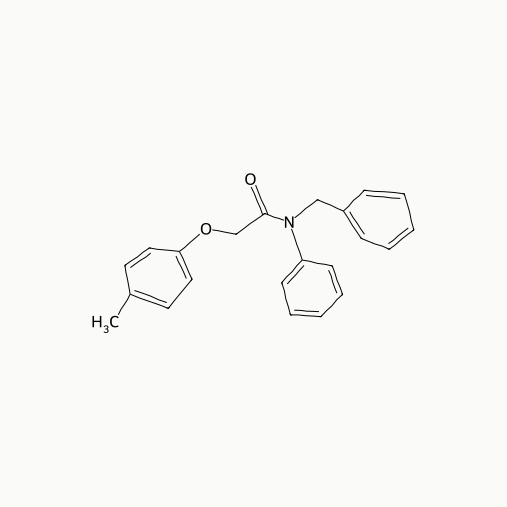 Cc1ccc(OCC(=O)N(Cc2ccccc2)c2ccccc2)cc1